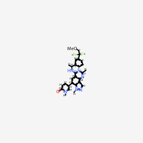 COCC(F)(F)c1cccc(C(C)Nc2nc(C)nc3c2cc(-c2ccc(=O)n(C)c2)c2c3cnn2C)c1